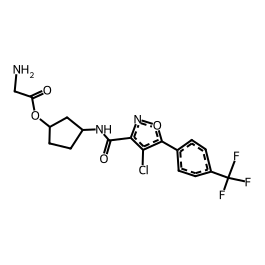 NCC(=O)OC1CCC(NC(=O)c2noc(-c3ccc(C(F)(F)F)cc3)c2Cl)C1